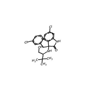 CC(C)(C)C(CO)NC1(Cc2cccc(Cl)c2)C(=O)Nc2cc(Cl)ccc21